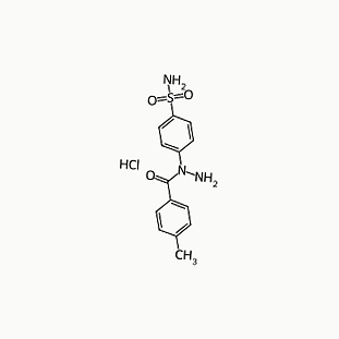 Cc1ccc(C(=O)N(N)c2ccc(S(N)(=O)=O)cc2)cc1.Cl